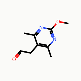 COc1nc(C)c(CC=O)c(C)n1